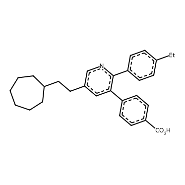 CCc1ccc(-c2ncc(CCC3CCCCCC3)cc2-c2ccc(C(=O)O)cc2)cc1